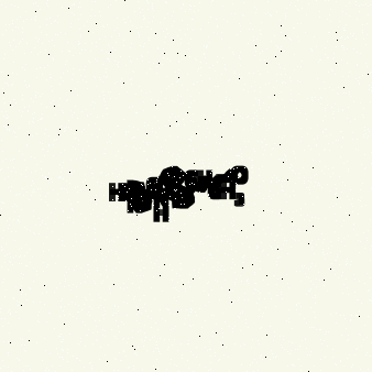 C/C(=C\C=C(/C)c1cccc2c1-c1ccccc1C2NC(=O)c1ccnc2[nH]ccc12)CCC=O